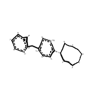 C1CCCCCC1.c1ccc(-c2cccnc2)nc1